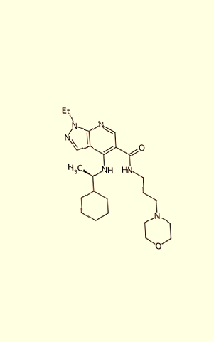 CCn1ncc2c(N[C@H](C)C3CCCCC3)c(C(=O)NCCCN3CCOCC3)cnc21